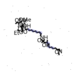 CCC1(C)OCC(C(=O)N(C)C(C(=O)OC)C(C)OC)(N(O)C(=O)/C=C/C=C/C=C/C=C\CNC(=O)C(C)(C)C(O)\C(C)=C/C=C\C=C\Cc2cnc(C)o2)O1